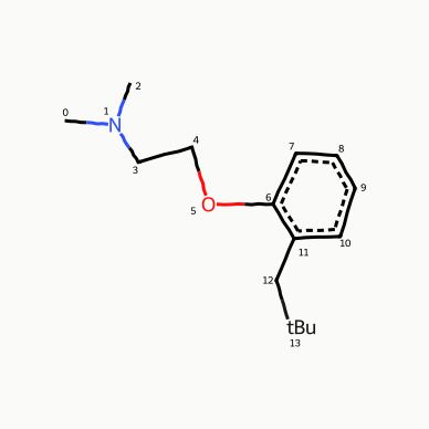 CN(C)CCOc1ccccc1CC(C)(C)C